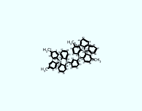 Cc1ccc([Si]2(c3ccc(C)cc3)c3ccccc3N(c3cccc(N4c5ccc(C)cc5[Si](c5ccccc5)(c5ccccc5)c5cc(C)ccc54)c3)c3ccccc32)cc1